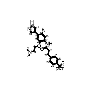 CN(C)CCOc1cc(-c2cn[nH]c2)c(F)cc1NC(=O)CCc1ccc(C(F)(F)F)cc1